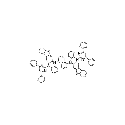 c1ccc(-c2cc(-c3ccccc3)nc(N3c4ccccc4N(c4cccc5c(N6c7ccccc7N(c7nc(-c8ccccc8)cc(-c8ccccc8)n7)c7cc8c(cc76)sc6ccccc68)cccc45)c4cc5sc6ccccc6c5cc43)n2)cc1